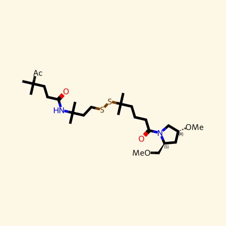 COC[C@@H]1C[C@@H](OC)CN1C(=O)CCCC(C)(C)SSCCC(C)(C)NC(=O)CCC(C)(C)C(C)=O